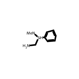 CN[SiH](CN)c1ccccc1